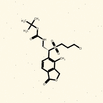 Cc1c([C@H](CNC(=O)OC(C)(C)C)S(=O)(=O)CCCCl)ccc2c1COC2=O